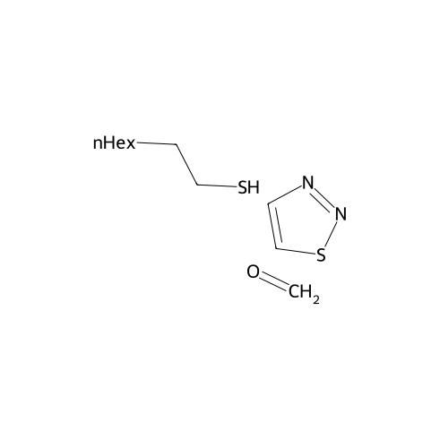 C=O.CCCCCCCCS.c1csnn1